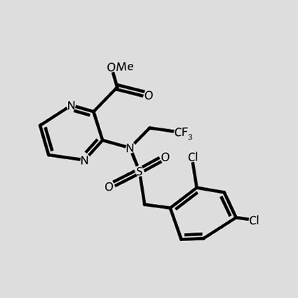 COC(=O)c1nccnc1N(CC(F)(F)F)S(=O)(=O)Cc1ccc(Cl)cc1Cl